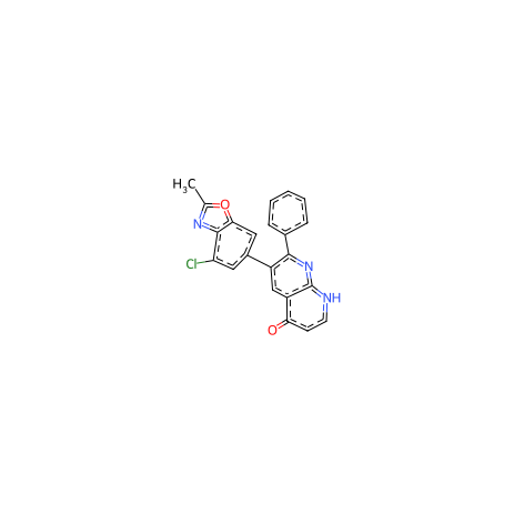 Cc1nc2c(Cl)cc(-c3cc4c(=O)cc[nH]c4nc3-c3ccccc3)cc2o1